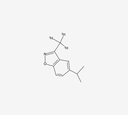 [2H]C([2H])([2H])c1noc2ccc(C(C)C)cc12